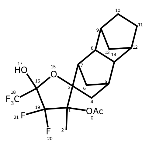 CC(=O)OC1(C)C2(CC3CC2C2C4CCC(C4)C32)OC(O)(C(F)(F)F)C1(F)F